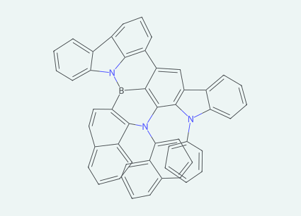 c1ccc(-n2c3ccccc3c3cc4c5c(c32)N(c2cccc3ccccc23)c2c(ccc3ccccc23)B5n2c3ccccc3c3cccc-4c32)cc1